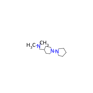 CN(C)CC1CCN(N2CCCCC2)CC1